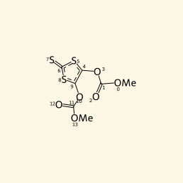 COC(=O)Oc1sc(=S)sc1OC(=O)OC